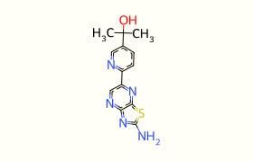 CC(C)(O)c1ccc(-c2cnc3nc(N)sc3n2)nc1